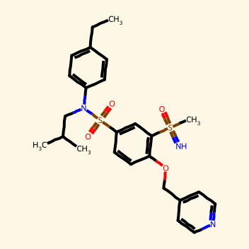 CCc1ccc(N(CC(C)C)S(=O)(=O)c2ccc(OCc3ccncc3)c(S(C)(=N)=O)c2)cc1